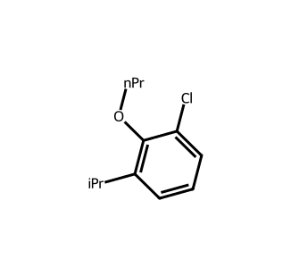 CCCOc1c(Cl)cccc1C(C)C